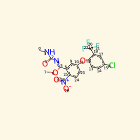 CNC(=O)N=C(OC)c1cc(Oc2ccc(Cl)cc2C(F)(F)F)ccc1[N+](=O)[O-]